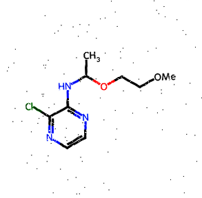 COCCOC(C)Nc1nccnc1Cl